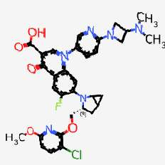 COc1ccc(Cl)c(OC[C@H]2CC3CC3N2c2cc3c(cc2F)c(=O)c(C(=O)O)cn3-c2ccc(N3CC(N(C)C)C3)nc2)n1